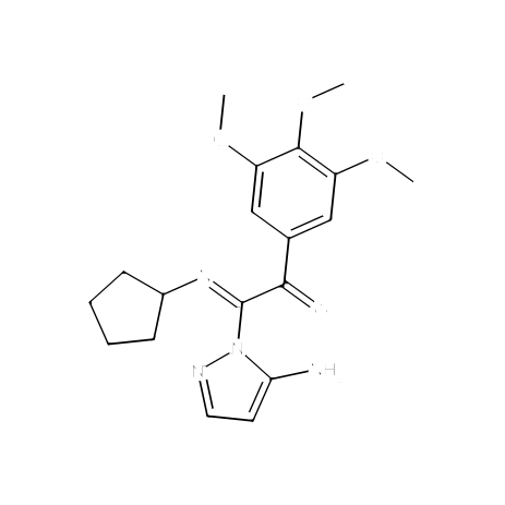 COc1cc(C(=O)C(=NC2CCCC2)n2nccc2N)cc(OC)c1OC